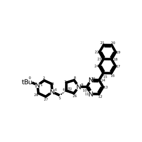 CC(C)(C)N1CCN(C[C@@H]2CCN(c3nccc(-c4ccc5ccccc5c4)n3)C2)CC1